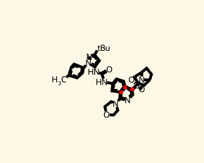 Cc1ccc(-n2nc(C(C)(C)C)cc2NC(=O)Nc2ccc(CC3CC4CCC(C3)N4S(=O)(=O)c3ccc(N4CCOCC4)nc3)cc2)cc1